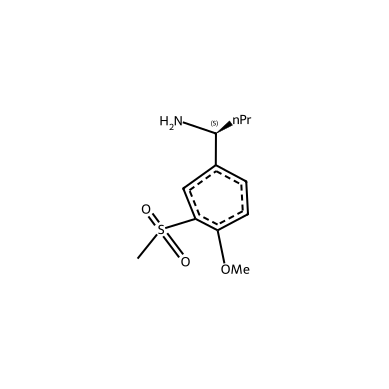 CCC[C@H](N)c1ccc(OC)c(S(C)(=O)=O)c1